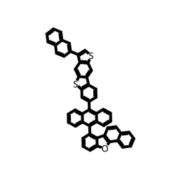 c1ccc2cc(-c3csc4cc5c(cc34)sc3cc(-c4c6ccccc6c(-c6cccc7oc8c9ccccc9ccc8c67)c6ccccc46)ccc35)ccc2c1